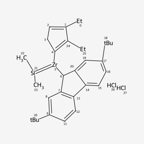 CCC1=CC[C]([Zr]([CH]2c3cc(C(C)(C)C)ccc3-c3ccc(C(C)(C)C)cc32)=[Si](C)C)=C1CC.Cl.Cl